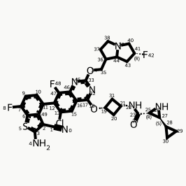 N#Cc1c(N)sc2c(F)ccc(-c3c(Cl)cc4c(O[C@H]5C[C@@H](NC(=O)[C@@H]6N[C@H]6C6CC6)C5)nc(OCC5CCN6C[C@H](F)CC56)nc4c3F)c12